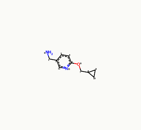 NCc1ccc(OCC2CC2)nc1